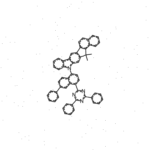 CC1(C)c2cc3c(cc2-c2ccc4ccccc4c21)c1ccccc1n3-c1ccc(-c2nc(-c3ccccc3)nc(-c3ccccc3)n2)c2cc(-c3ccccc3)ccc12